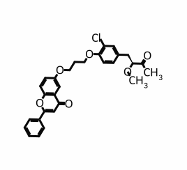 CO[C@@H](Cc1ccc(OCCCOc2ccc3oc(-c4ccccc4)cc(=O)c3c2)c(Cl)c1)C(C)=O